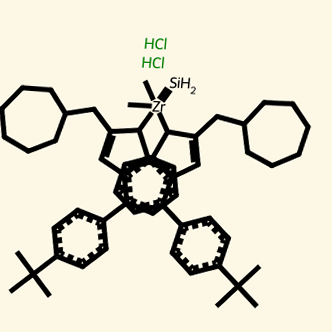 CC(C)(C)c1ccc(-c2cccc3c2C=C(CC2CCCCCC2)[CH]3[Zr]([CH3])([CH3])(=[SiH2])[CH]2C(CC3CCCCCC3)=Cc3c(-c4ccc(C(C)(C)C)cc4)cccc32)cc1.Cl.Cl